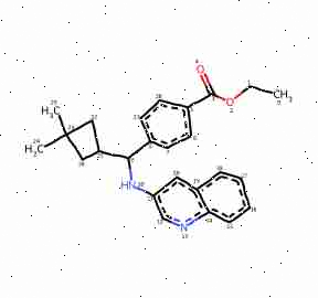 CCOC(=O)c1ccc(C(Nc2cnc3ccccc3c2)C2CC(C)(C)C2)cc1